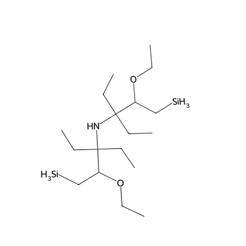 CCOC(C[SiH3])C(CC)(CC)NC(CC)(CC)C(C[SiH3])OCC